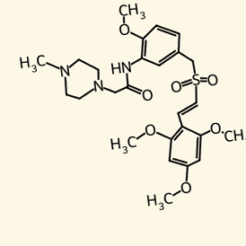 COc1cc(OC)c(/C=C/S(=O)(=O)Cc2ccc(OC)c(NC(=O)CN3CCN(C)CC3)c2)c(OC)c1